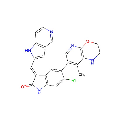 Cc1c(-c2cc3c(cc2Cl)NC(=O)C3=Cc2cc3cnccc3[nH]2)cnc2c1NCCO2